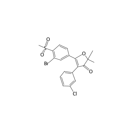 CC1(C)OC(c2ccc(S(C)(=O)=O)c(Br)c2)=C(c2cccc(Cl)c2)C1=O